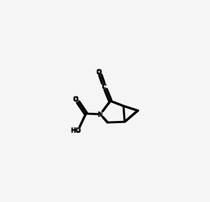 O=C=C1C2CC2CN1C(=O)O